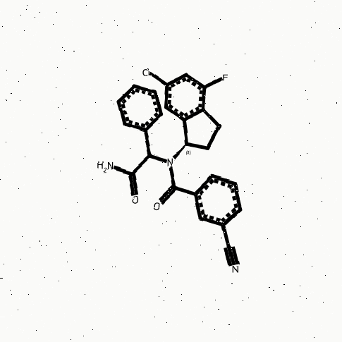 N#Cc1cccc(C(=O)N(C(C(N)=O)c2ccccc2)[C@@H]2CCc3c(F)cc(Cl)cc32)c1